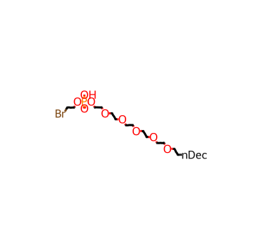 CCCCCCCCCCCCOCCOCCOCCOCCOCCOP(=O)(O)OCCBr